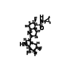 O=C(NC1CC1)c1c(F)ccc2nc(-c3c[nH]c4c(F)c(F)c(F)cc34)ccc12